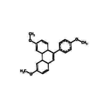 COC1=CC2C(C=C1)C=C(c1ccc(OC)cc1)C1C=CC(OC)=CC12